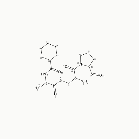 CC(CSC(=O)C(C)NC(=O)C1CCCCC1)C(=O)N1CCCC1C=O